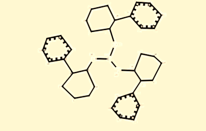 c1ccc(C2CCCCC2OP(OC2CCCCC2c2ccccc2)OC2CCCCC2c2ccccc2)cc1